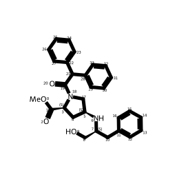 COC(=O)[C@@H]1C[C@H](N[C@H](CO)Cc2ccccc2)CN1C(=O)C(c1ccccc1)c1ccccc1